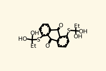 CCC(O)(O)Sc1cccc2c1C(=O)c1cccc(SC(O)(O)CC)c1C2=O